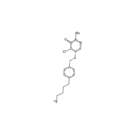 CC(C)(C)n1ncc(SCc2ccc(CCCC[19F])cc2)c(Cl)c1=O